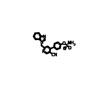 N#Cc1cnc(Cn2cnc3ccccc32)cc1-c1ccc(OS(N)(=O)=O)cc1